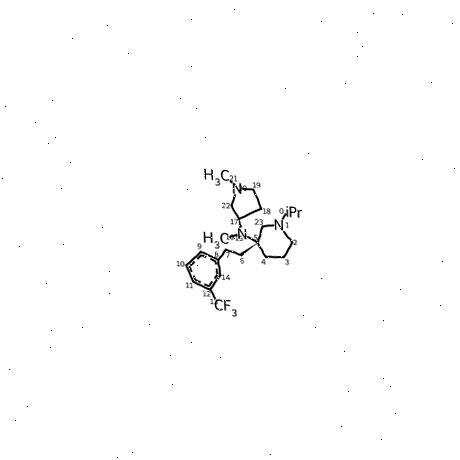 CC(C)N1CCC[C@](CCc2cccc(C(F)(F)F)c2)(N(C)[C@@H]2CCN(C)C2)C1